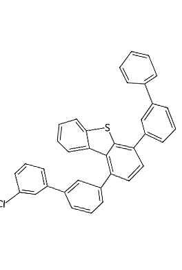 Clc1cccc(-c2cccc(-c3ccc(-c4cccc(-c5ccccc5)c4)c4sc5ccccc5c34)c2)c1